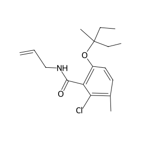 C=CCNC(=O)c1c(OC(C)(CC)CC)ccc(C)c1Cl